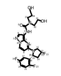 O=C(Nc1cnn2ccc(N3C[C@@H](F)C[C@@H]3c3cc(F)ccc3F)nc12)N(CCO)CCO